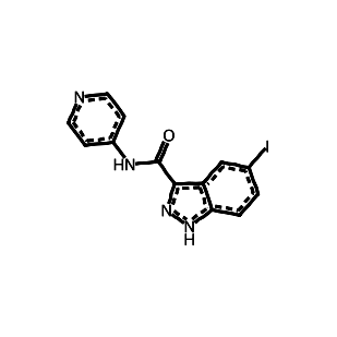 O=C(Nc1ccncc1)c1n[nH]c2ccc(I)cc12